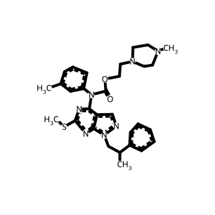 CSc1nc(N(C(=O)OCCN2CCN(C)CC2)c2cccc(C)c2)c2cnn(CC(C)c3ccccc3)c2n1